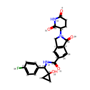 O=C1CCC(N2Cc3cc(C(=O)NC(c4ccc(F)cc4)C4(O)CC4)ccc3C2=O)C(=O)N1